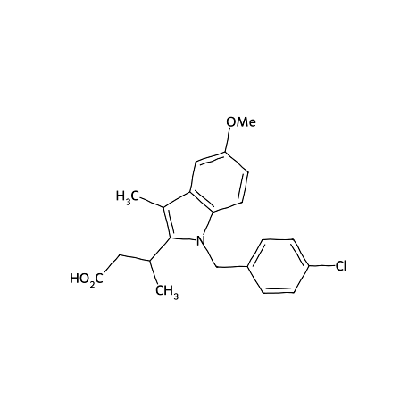 COc1ccc2c(c1)c(C)c(C(C)CC(=O)O)n2Cc1ccc(Cl)cc1